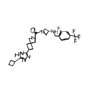 O=C(N1CC(NCc2ccc(C(F)(F)F)cc2F)C1)N1CC2(CC(c3nnc(C4CCC4)[nH]3)C2)C1